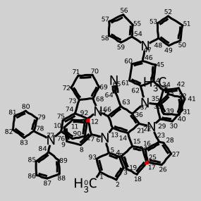 Cc1cccc(N(c2ccccc2)c2c(-c3ccccc3)c(N(c3ccccc3)c3cccc(C)c3)c(-n3c4ccccc4c4cc(N(c5ccccc5)c5ccccc5)ccc43)c(C#N)c2-n2c3ccccc3c3cc(N(c4ccccc4)c4ccccc4)ccc32)c1